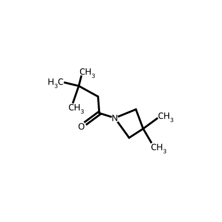 CC(C)(C)CC(=O)N1CC(C)(C)C1